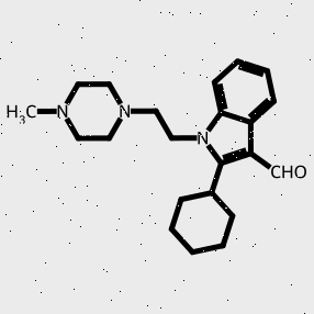 CN1CCN(CCn2c(C3CCCCC3)c(C=O)c3ccccc32)CC1